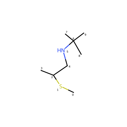 CSC(C)CNC(C)(C)C